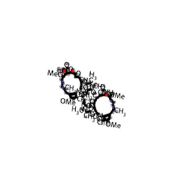 COc1cc2cc(c1Cl)N(C)C(=O)CC(OC(=O)C(C)N(C)C(=O)CCSSCCC(=O)N(C)C(C)C(=O)OC1CC(=O)N(C)c3cc(cc(OC)c3Cl)C/C(C)=C/C=C/C(OC)C3(O)CC(OC(=O)N3)C(C)C3OC13C)C1(C)CC(C)(O1)C1CC(O)(NC(=O)O1)C(OC)/C=C/C=C(\C)C2